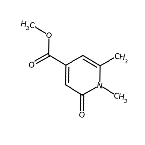 COC(=O)c1cc(C)n(C)c(=O)c1